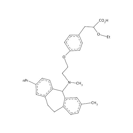 CCCc1ccc2c(c1)CCc1ccc(C)cc1C2N(C)CCOc1ccc(CC(OCC)C(=O)O)cc1